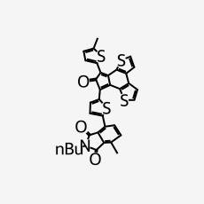 CCCCN1C(=O)c2c(C)ccc(-c3ccc(C4=c5c(c6sccc6c6ccsc56)=C(c5ccc(C)s5)C4=O)s3)c2C1=O